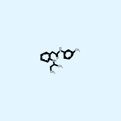 CCC(C)Nc1ccccc1CC(=O)Nc1cccc(C)c1